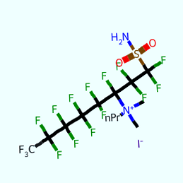 CCC[N+](C)(C)C(F)(C(F)(F)C(F)(F)C(F)(F)C(F)(F)C(F)(F)F)C(F)(F)C(F)(F)S(N)(=O)=O.[I-]